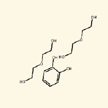 OCCOCCO.OCCOCCO.Oc1ccccc1O